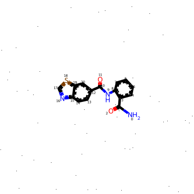 NC(=O)c1ccccc1NC(=O)c1ccc2ncsc2c1